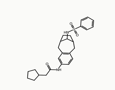 O=C(CC1CCCC1)Nc1ccc2c(c1)CC1CCC(C2)C1NS(=O)(=O)c1ccccc1